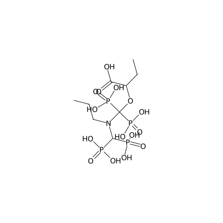 CCCN(C(P(=O)(O)O)P(=O)(O)O)C(OC(CC)C(=O)O)(P(=O)(O)O)P(=O)(O)O